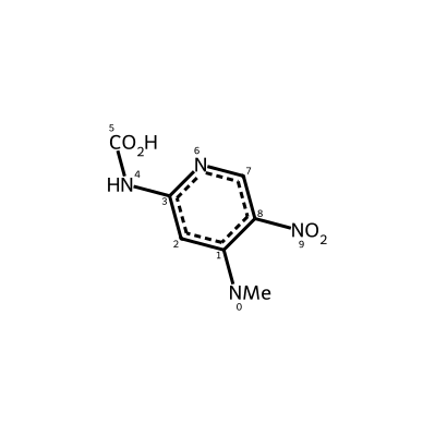 CNc1cc(NC(=O)O)ncc1[N+](=O)[O-]